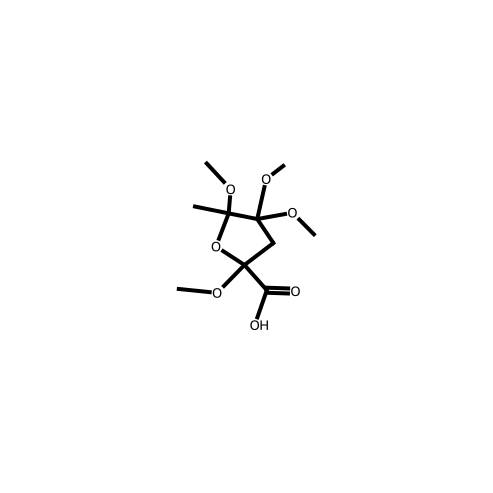 COC1(C(=O)O)CC(OC)(OC)C(C)(OC)O1